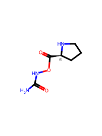 NC(=O)NOC(=O)[C@@H]1CCCN1